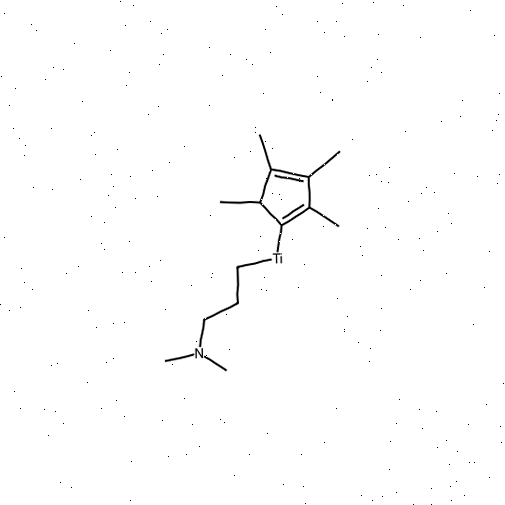 CC1=C(C)C(C)[C]([Ti][CH2]CCN(C)C)=C1C